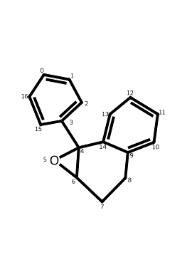 c1ccc(C23OC2CCc2ccccc23)cc1